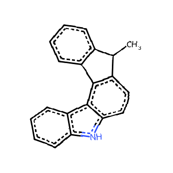 CC1c2ccccc2-c2c1ccc1[nH]c3ccccc3c21